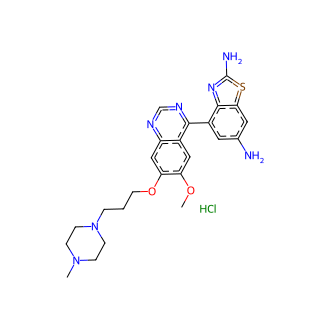 COc1cc2c(-c3cc(N)cc4sc(N)nc34)ncnc2cc1OCCCN1CCN(C)CC1.Cl